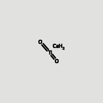 [CaH2].[O]=[Ti]=[O]